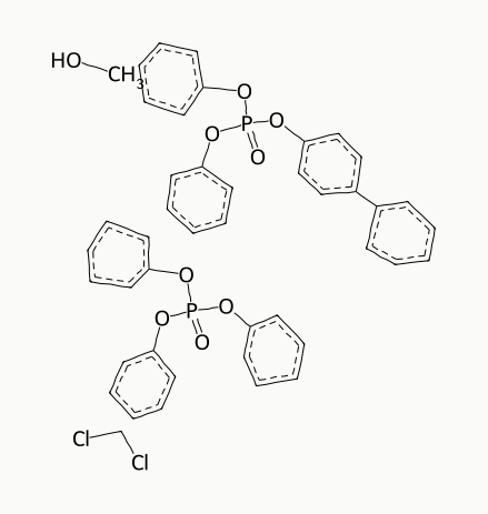 CO.ClCCl.O=P(Oc1ccccc1)(Oc1ccccc1)Oc1ccc(-c2ccccc2)cc1.O=P(Oc1ccccc1)(Oc1ccccc1)Oc1ccccc1